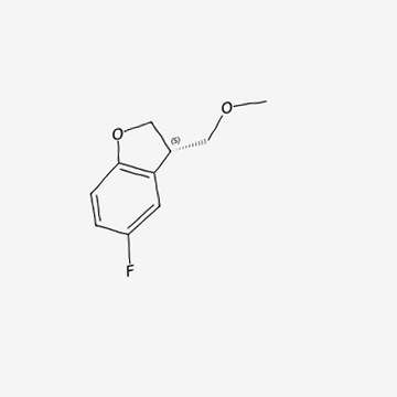 COC[C@H]1COc2ccc(F)cc21